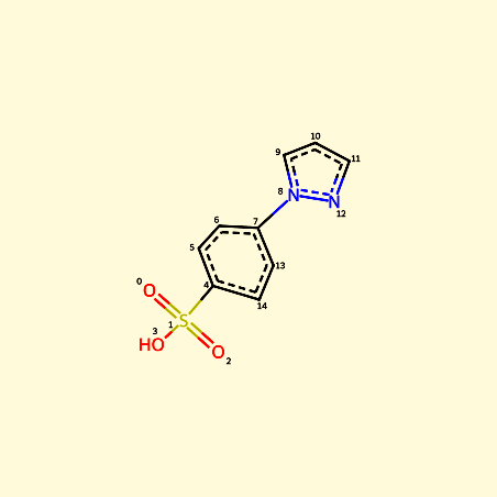 O=S(=O)(O)c1ccc(-n2cccn2)cc1